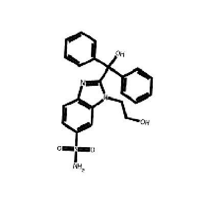 NS(=O)(=O)c1ccc2nc(C(O)(c3ccccc3)c3ccccc3)n(CCO)c2c1